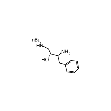 CCCCNC[C@@H](O)[C@@H](N)Cc1ccccc1